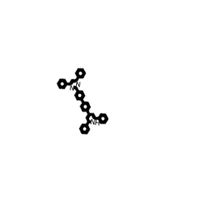 C1=C(c2ccc(-c3ccc(-c4nc(-c5ccccc5)cc(-c5ccccc5)n4)cc3)cc2)C=C(c2ccccc2)NC1c1ccccc1